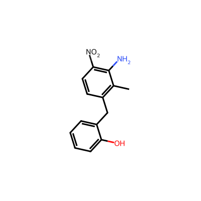 Cc1c(Cc2ccccc2O)ccc([N+](=O)[O-])c1N